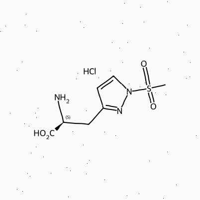 CS(=O)(=O)n1ccc(C[C@H](N)C(=O)O)n1.Cl